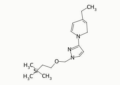 CCC1=CCN(c2ccn(COCC[Si](C)(C)C)n2)C=C1